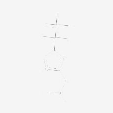 CC(=O)Nc1cc(C(C)(C)C(F)(F)F)on1